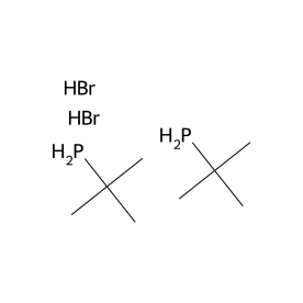 Br.Br.CC(C)(C)P.CC(C)(C)P